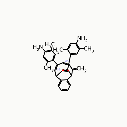 C=C1/C=C\C(c2cc(C)c(N)cc2C)=C/C2c3ccccc3C1c1cc(-c3cc(C)c(N)cc3C)ccc12